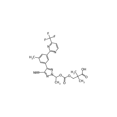 Cc1cc(-c2nccc(C(F)(F)F)n2)cc(-c2nn(C(C)OC(=O)OCC(C)(C)C(=O)O)nc2C#N)c1